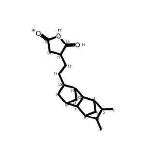 CC1C(C)C2CC1C1C3CC(CCC4CC(=O)OC4=O)C(C3)C21